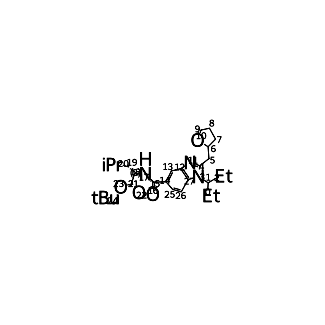 CCC(CC)n1c(CC2CCCO2)nc2cc(C(=O)N[C@@H](CC(C)C)C(=O)OC(C)(C)C)ccc21